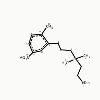 CCCCCCCCCCCC[Si](C)(C)CCCc1cc(S(=O)(=O)O)ccc1C